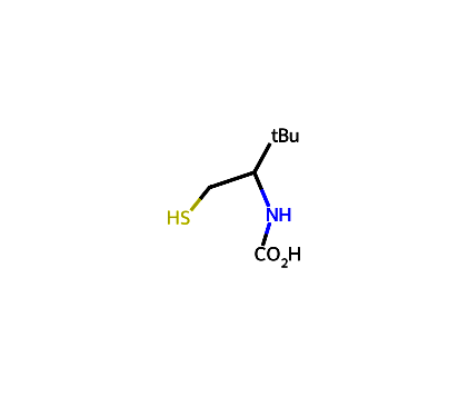 CC(C)(C)C(CS)NC(=O)O